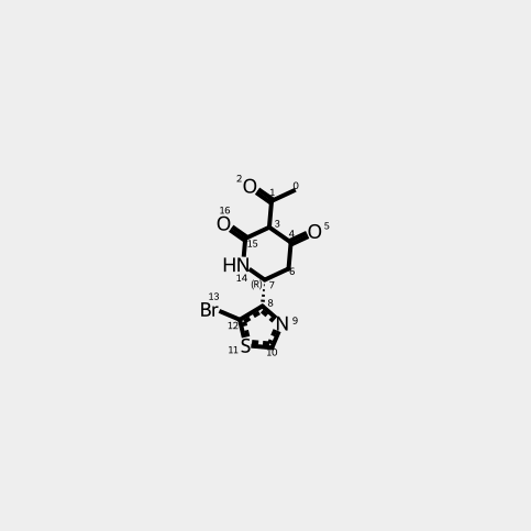 CC(=O)C1C(=O)C[C@H](c2ncsc2Br)NC1=O